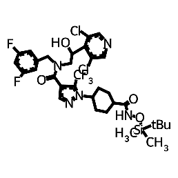 CC(C)(C)[Si](C)(C)ONC(=O)C1CCC(n2ncc(C(=O)N(Cc3cc(F)cc(F)c3)CC(O)c3c(Cl)cncc3Cl)c2C(F)(F)F)CC1